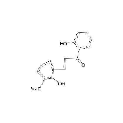 COc1cccc(/C=C/C(=O)c2ccccc2O)c1O